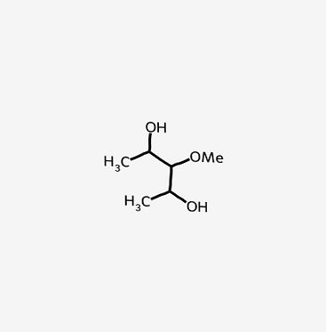 COC(C(C)O)C(C)O